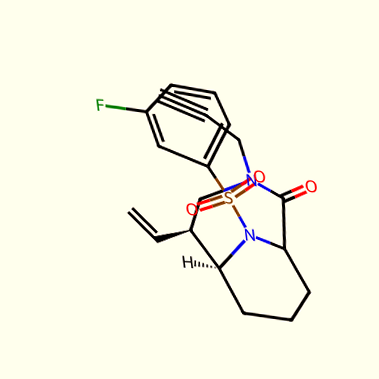 C#CCN1C[C@H](C=C)[C@@H]2CCCC(C1=O)N2S(=O)(=O)c1cccc(F)c1